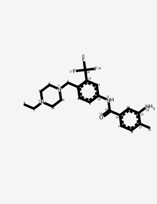 CCN1CCN(Cc2ccc(NC(=O)c3ccc(C)c(N)c3)cc2C(F)(F)F)CC1